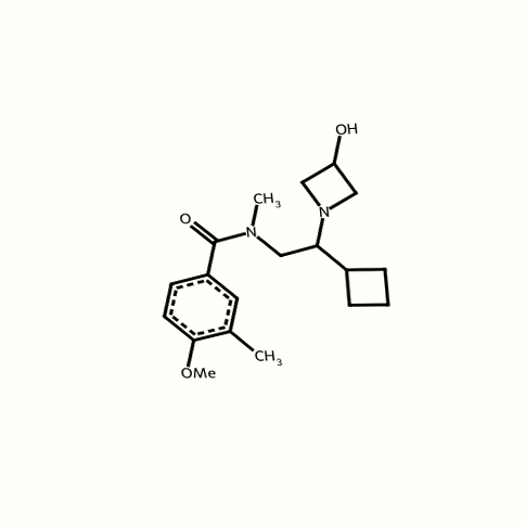 COc1ccc(C(=O)N(C)CC(C2CCC2)N2CC(O)C2)cc1C